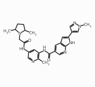 Cc1ncc(NC(=O)CN2C(C)CCC2C)cc1NC(=O)c1cnc2[nH]c(-c3cnn(C)c3)cc2c1